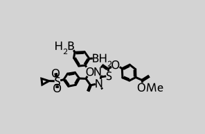 Bc1ccc(OC(C(=C)N(C)c2ncc(Oc3ccc(C(=C)OC)cc3)s2)c2ccc(S(=O)(=O)C3CC3)cc2)c(B)c1